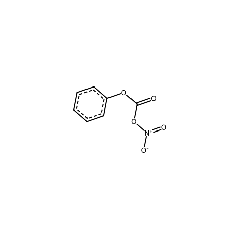 O=C(Oc1ccccc1)O[N+](=O)[O-]